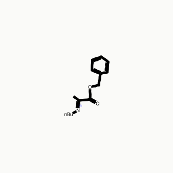 CCCC/N=C(\C)C(=O)OCc1ccccc1